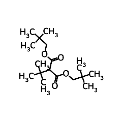 CC(C)(C)COC(=O)C(C(=O)OCC(C)(C)C)C(C)(C)C